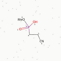 COP(=O)(O)C[CH]C#N